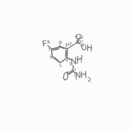 NC(=O)Nc1ccc(F)cc1C(=O)O